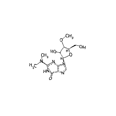 COC1C(O)[C@H](n2cnc3c(=O)[nH]c(N(C)C)nc32)O[C@@H]1CO